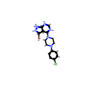 Clc1ccc(N2CCN(c3ncnc4[nH]nc(Br)c34)CC2)cc1